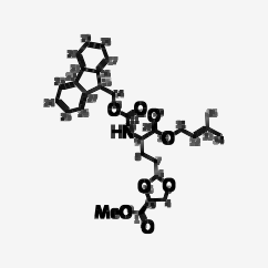 COC(=O)[C@@H]1COC(CCC(NC(=O)OCC2c3ccccc3-c3ccccc32)C(=O)OCC=C(C)C)O1